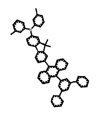 Cc1cccc(N(c2cccc(C)c2)c2ccc3c(c2)C(C)(C)c2cc(-c4c5ccccc5c(-c5cc(-c6ccccc6)cc(-c6ccccc6)c5)c5ccccc45)ccc2-3)c1